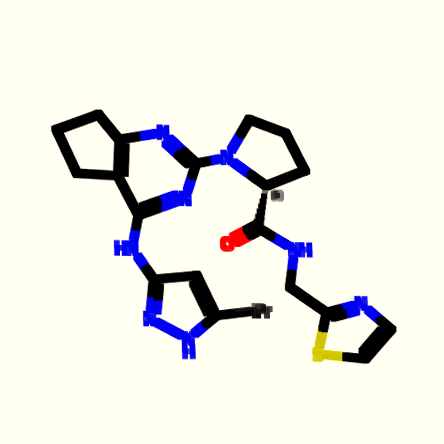 CC(C)c1cc(Nc2nc(N3CCC[C@@H]3C(=O)NCc3nccs3)nc3c2CCC3)n[nH]1